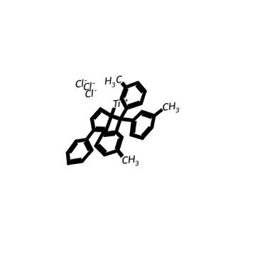 Cc1cccc(C(c2cccc(C)c2)(c2cccc(C)c2)[C]2([Ti+3])C=CC(c3ccccc3)=C2)c1.[Cl-].[Cl-].[Cl-]